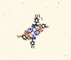 CCc1ccc(-c2csc(N3CCN(S(=O)(=O)c4cc(Br)ccc4OC)CC3)n2)cc1.COc1ccc(Br)cc1S(=O)(=O)N1CCN(c2nc(-c3ccc(C)cc3)cs2)CC1